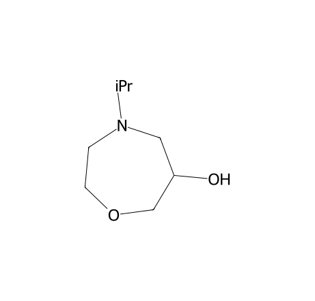 CC(C)N1CCOCC(O)C1